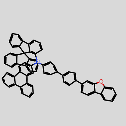 c1ccc2c(c1)-c1ccccc1C21c2ccccc2-c2cccc(N(c3ccc(-c4ccc(-c5ccc6c(c5)oc5ccccc56)cc4)cc3)c3ccc4c5ccccc5c5ccccc5c4c3)c21